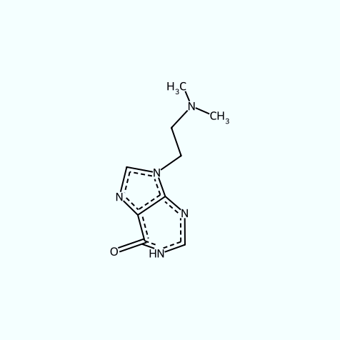 CN(C)CCn1cnc2c(=O)[nH]cnc21